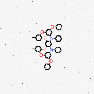 Cc1ccc2c(c1)Oc1cc(Oc3ccccc3)cc3c1B2c1cc2c(cc1N3c1ccccc1)N(c1ccccc1)c1cc(Oc3ccccc3)cc3c1B2c1ccc(C)cc1O3